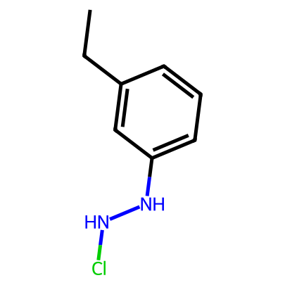 CCc1cccc(NNCl)c1